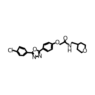 O=C(COc1ccc(-c2nnc(-c3ccc(Cl)cc3)o2)cc1)NCC1CCOCC1